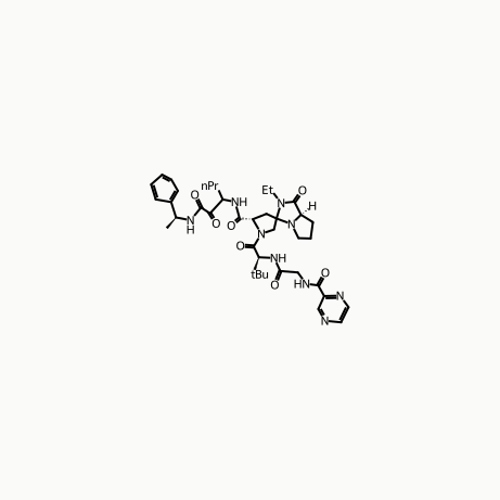 CCCC(NC(=O)[C@@H]1CC2(CN1C(=O)[C@@H](NC(=O)CNC(=O)c1cnccn1)C(C)(C)C)N(CC)C(=O)[C@H]1CCCN12)C(=O)C(=O)N[C@@H](C)c1ccccc1